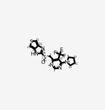 [O-][S+](Cc1ncnc(N2CCCC2)c1C(F)(F)F)c1nc2cscc2[nH]1